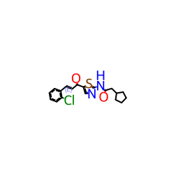 O=C(CC1CCCC1)Nc1ncc(C(=O)/C=C/c2ccccc2Cl)s1